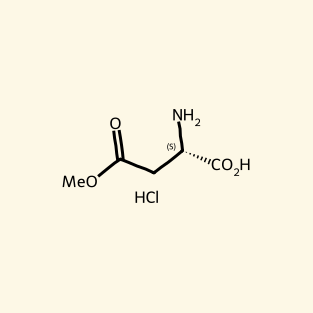 COC(=O)C[C@H](N)C(=O)O.Cl